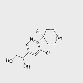 OCC(O)c1cnc(C2(F)CCNCC2)c(Cl)c1